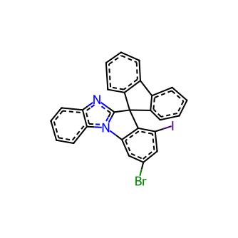 Brc1cc(I)c2c(c1)-n1c(nc3ccccc31)C21c2ccccc2-c2ccccc21